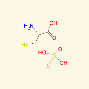 N[C@@H](CS)C(=O)O.O=S(O)(O)=S